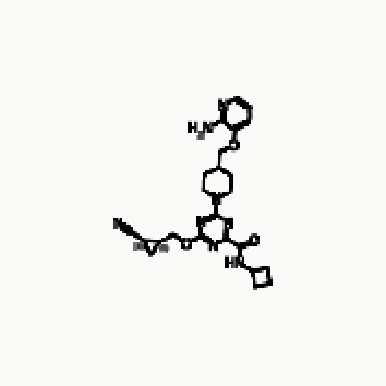 N#C[C@@H]1C[C@@H]1COc1nc(C(=O)NC2CCC2)nc(N2CCC(COc3cccnc3N)CC2)n1